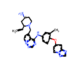 C=CC1C[C@@H](N)CCN1Cc1ccn2ncnc(Nc3ccc(Oc4ccn5ncnc5c4)c(C)c3)c12